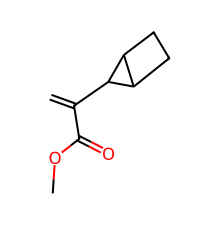 C=C(C(=O)OC)C1C2CCC21